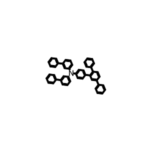 c1ccc(-c2cccc(N(c3ccc(-c4cc(-c5ccccc5)ccc4-c4ccccc4)cc3)c3cccc(-c4ccccc4)c3)c2)cc1